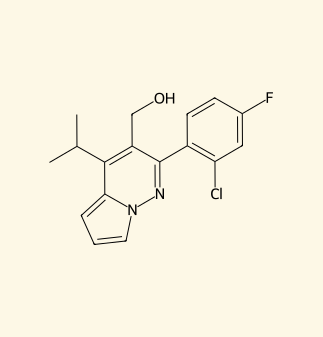 CC(C)c1c(CO)c(-c2ccc(F)cc2Cl)nn2cccc12